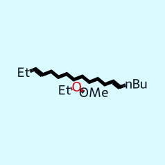 CCC=CCCCCCCCCC=CCCCC.CCOOC